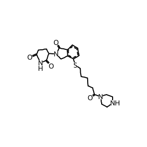 O=C1CCC(N2Cc3c(SCCCCCC(=O)N4CCNCC4)cccc3C2=O)C(=O)N1